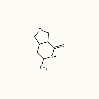 CC1CC2COCC2C(=O)N1